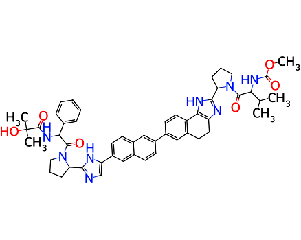 COC(=O)NC(C(=O)N1CCCC1c1nc2c([nH]1)-c1ccc(-c3ccc4cc(-c5cnc(C6CCCN6C(=O)C(NC(=O)C(C)(C)O)c6ccccc6)[nH]5)ccc4c3)cc1CC2)C(C)C